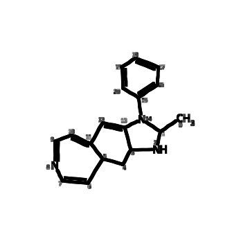 CC1NC2CC3C=CN=CC=C3C=C2N1c1ccccc1